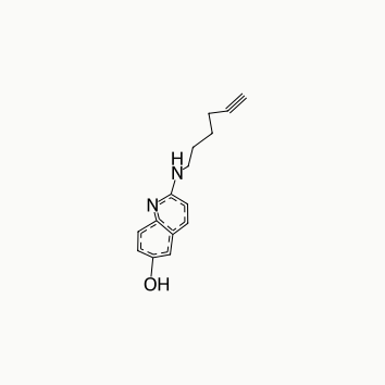 C#CCCCCNc1ccc2cc(O)ccc2n1